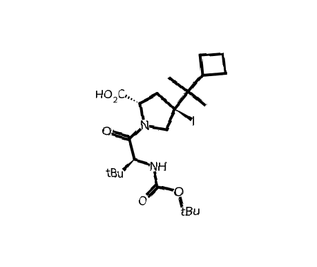 CC(C)(C)OC(=O)N[C@H](C(=O)N1C[C@@](I)(C(C)(C)C2CCC2)C[C@H]1C(=O)O)C(C)(C)C